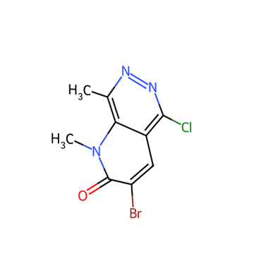 Cc1nnc(Cl)c2cc(Br)c(=O)n(C)c12